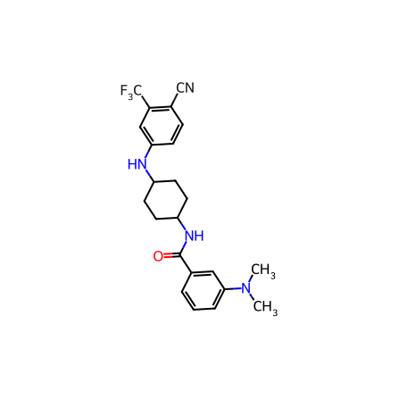 CN(C)c1cccc(C(=O)NC2CCC(Nc3ccc(C#N)c(C(F)(F)F)c3)CC2)c1